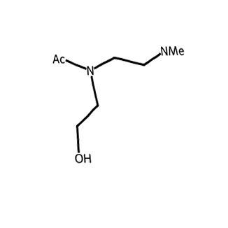 CNCCN(CCO)C(C)=O